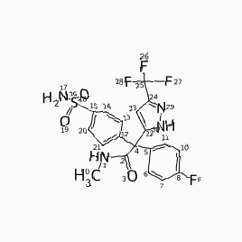 CNC(=O)C(c1ccc(F)cc1)(c1ccc(S(N)(=O)=O)cc1)c1cc(C(F)(F)F)n[nH]1